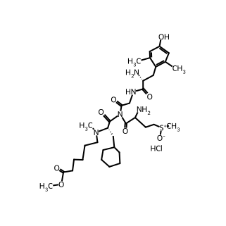 COC(=O)CCCCCN(C)[C@@H](CC1CCCCC1)C(=O)N(C(=O)CNC(=O)[C@H](N)Cc1c(C)cc(O)cc1C)C(=O)C(N)CC[S+](C)[O-].Cl